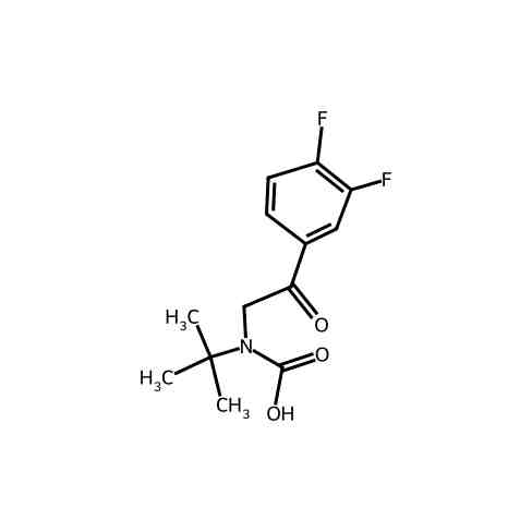 CC(C)(C)N(CC(=O)c1ccc(F)c(F)c1)C(=O)O